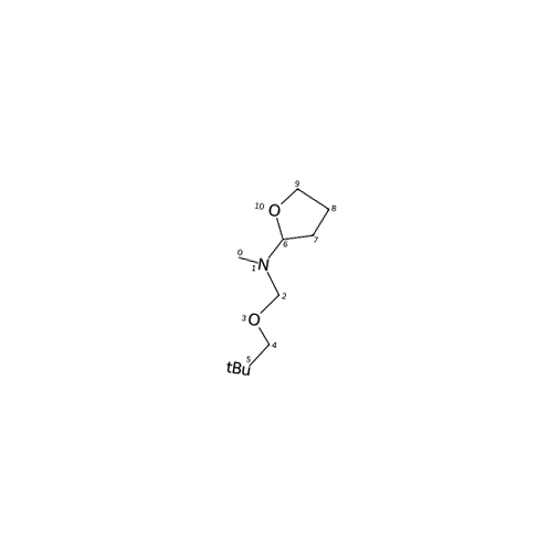 CN(COCC(C)(C)C)C1CCCO1